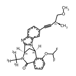 [2H]C([2H])([2H])N1C(=O)c2cccc(OC(F)F)c2[C@H]2C[C@@H]1c1nc3ccc(C#C[C@H](C)COC)cc3n12